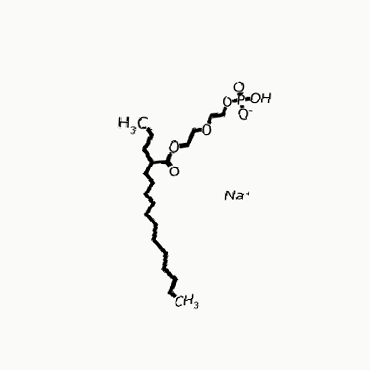 CCCCCCCCCCCCC(CCC)C(=O)OCCOCCOP(=O)([O-])O.[Na+]